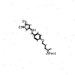 CCCCCN(C)CCCOc1ccc(CNC2CN(CC)N(CC)C2)cc1